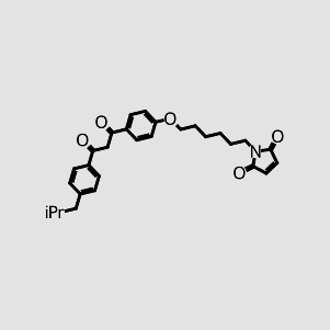 CC(C)Cc1ccc(C(=O)CC(=O)c2ccc(OCCCCCCN3C(=O)C=CC3=O)cc2)cc1